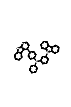 c1ccc(N(c2ccc(-c3ccnc4oc5ccccc5c34)cc2)c2cccc(-n3c4ccccc4c4ccccc43)c2)cc1